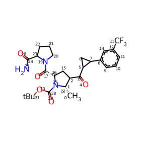 C[C@H]1C(C(=O)C2CC2c2cccc(C(F)(F)F)c2)C[C@@H](C(=O)N2CCCC2C(N)=O)N1C(=O)OC(C)(C)C